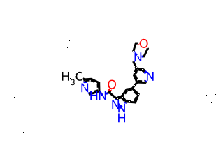 Cc1ccc(NC(=O)c2n[nH]c3ccc(-c4cncc(CN5CCOCC5)c4)cc23)cn1